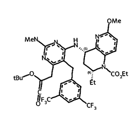 CCOC(=O)N1c2ccc(OC)nc2[C@@H](Nc2nc(NC)nc(CC(=C=O)OC(C)(C)C)c2Cc2cc(C(F)(F)F)cc(C(F)(F)F)c2)C[C@H]1CC